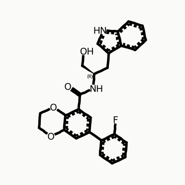 O=C(N[C@@H](CO)Cc1c[nH]c2ccccc12)c1cc(-c2ccccc2F)cc2c1OCCO2